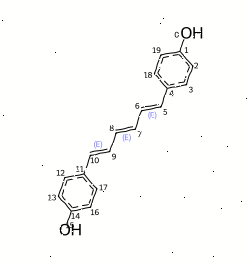 Oc1ccc(/C=C/C=C/C=C/c2ccc(O)cc2)cc1